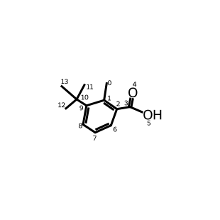 Cc1c(C(=O)O)cccc1C(C)(C)C